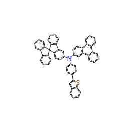 c1ccc2c(c1)-c1ccccc1C21c2ccccc2-c2cc(N(c3ccc(-c4cc5ccccc5s4)cc3)c3ccc4c5ccccc5c5ccccc5c4c3)ccc21